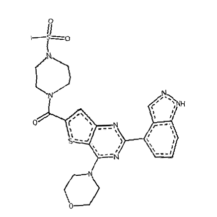 O=C(c1cc2nc(-c3cccc4[nH]ncc34)nc(N3CCOCC3)c2s1)N1CCN(S(=O)(=O)I)CC1